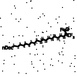 CCCCCCCCCCCCCCCCCCCCCCCCCCCCC(C(=O)F)C(F)(F)F